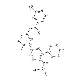 Cc1ncc(NC(=O)c2ccnc(C(F)(F)F)c2)cc1-c1cnc(OC(F)F)c(N2CCOCC2)c1